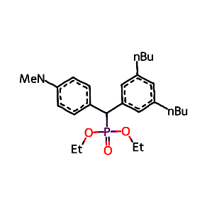 CCCCc1cc(CCCC)cc(C(c2ccc(NC)cc2)P(=O)(OCC)OCC)c1